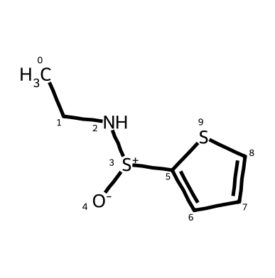 CCN[S+]([O-])c1cccs1